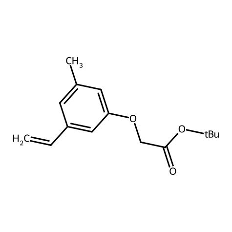 C=Cc1cc(C)cc(OCC(=O)OC(C)(C)C)c1